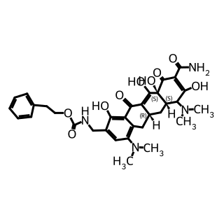 CN(C)c1cc(CNC(=O)OCCc2ccccc2)c(O)c2c1C[C@H]1C[C@H]3C(N(C)C)C(O)=C(C(N)=O)C(=O)[C@@]3(O)C(O)=C1C2=O